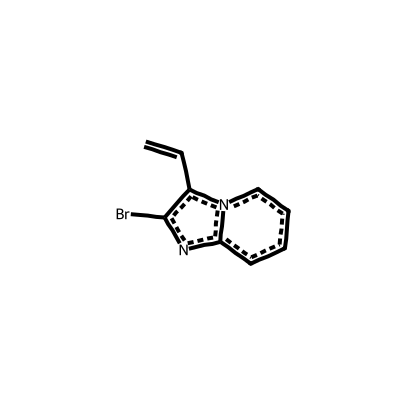 C=Cc1c(Br)nc2ccccn12